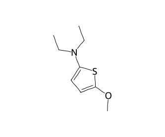 CCN(CC)c1ccc(OC)s1